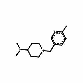 Cc1ccc(CN2CCC(N(C)C)CC2)cn1